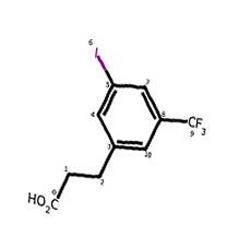 O=C(O)CCc1cc(I)cc(C(F)(F)F)c1